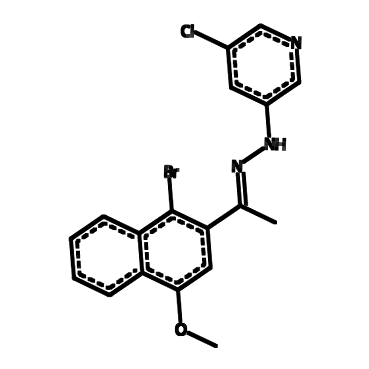 COc1cc(C(C)=NNc2cncc(Cl)c2)c(Br)c2ccccc12